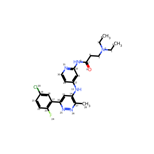 CCN(CC)CCC(=O)Nc1cc(Nc2cc(-c3cc(Cl)ccc3F)nnc2C)ccn1